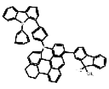 CC1(C)c2ccccc2-c2ccc(-c3ccc(N(c4ccc(-c5cccc6c7ccccc7n(-c7ccccc7)c56)cc4)c4ccccc4-c4cccc5cccc(C6CCCCC6)c45)cc3)cc21